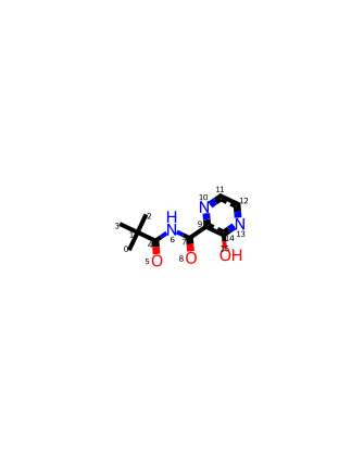 CC(C)(C)C(=O)NC(=O)c1nccnc1O